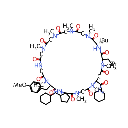 CC[C@H](C)C1NC(=O)C(CC(C)C)N(C)C(=O)CC(C(=O)N2CCCCC2)N(C)C(=O)CN(C)C(=O)C2(CCCC2CC2CCCCC2)NC(=O)C(Cc2ccc(OC)cc2)N(C)C(=O)CNC(=O)CN(C)C(=O)CN(C)C(=O)CN(C)C(=O)CN(C)C1=O